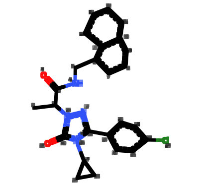 CC(C(=O)NCc1cccc2ccccc12)n1nc(-c2ccc(Cl)cc2)n(C2CC2)c1=O